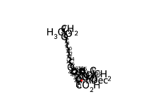 C=C(C)C(=O)OCCCCCCCCCCCOc1ccc(C2(c3ccccc3OC(CCCCCCCCCC)OC(=O)C(=C)C)C=CC(C(=O)O)C=C2)cc1